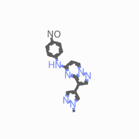 Cn1cc(-c2cnn3ccc(Nc4ccc(N=O)cc4)nc23)cn1